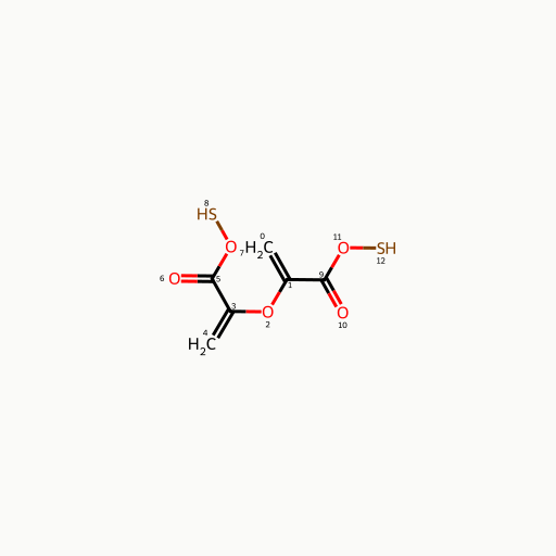 C=C(OC(=C)C(=O)OS)C(=O)OS